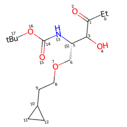 CCC(=O)C(O)[C@H](COCCC1CC1)NC(=O)OC(C)(C)C